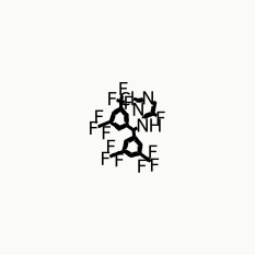 Fc1cnc(Cl)nc1NC(c1cc(C(F)(F)F)cc(C(F)(F)F)c1)c1cc(C(F)(F)F)cc(C(F)(F)F)c1